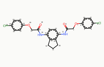 O=C(COc1ccc(Cl)cc1)Nc1ccc(NC(=O)COc2ccc(Cl)cc2)c2c1CCC2